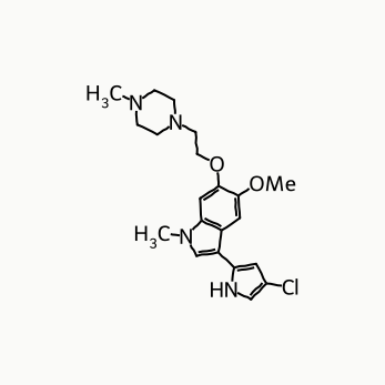 COc1cc2c(-c3cc(Cl)c[nH]3)cn(C)c2cc1OCCN1CCN(C)CC1